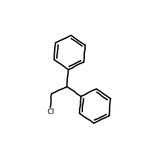 ClC[C](c1ccccc1)c1ccccc1